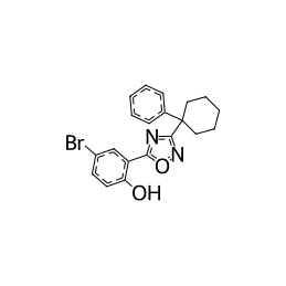 Oc1ccc(Br)cc1-c1nc(C2(c3ccccc3)CCCCC2)no1